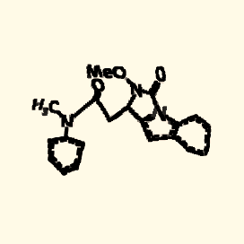 CON1C(=O)n2c(cc3ccccc32)C1CC(=O)N(C)c1ccccc1